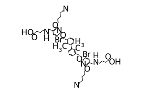 Cc1c(COc2nc(OCCCCC#N)c(CNCCCC(=O)O)cc2Br)cccc1-c1cccc(COc2nc(OCCCCC#N)c(CNCCCC(=O)O)cc2Br)c1C